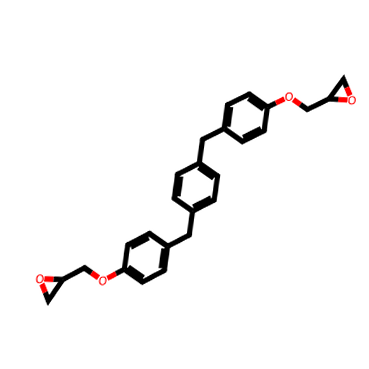 c1cc(Cc2ccc(OCC3CO3)cc2)ccc1Cc1ccc(OCC2CO2)cc1